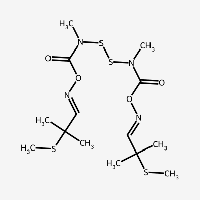 CSC(C)(C)C=NOC(=O)N(C)SSN(C)C(=O)ON=CC(C)(C)SC